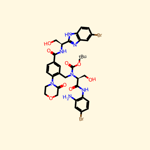 CC(C)(C)OC(=O)N(Cc1cc(C(=O)N[C@@H](CO)c2nc3cc(Br)ccc3[nH]2)ccc1N1CCOCC1=O)[C@@H](CO)C(=O)Nc1ccc(Br)cc1N